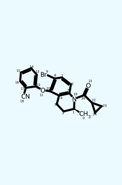 C[C@H]1CCc2c(ccc(Br)c2Oc2ccccc2C#N)N1C(=O)C1CC1